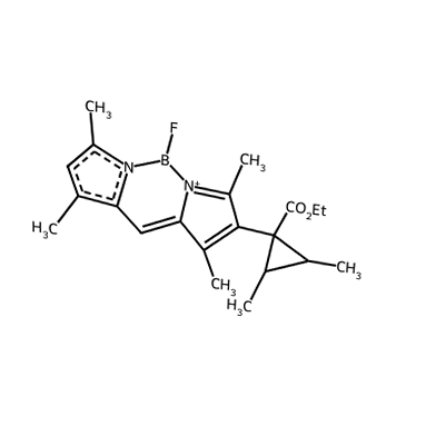 CCOC(=O)C1(C2=C(C)C3=Cc4c(C)cc(C)n4B(F)[N+]3=C2C)C(C)C1C